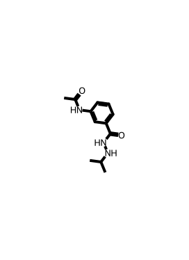 CC(=O)Nc1cccc(C(=O)NNC(C)C)c1